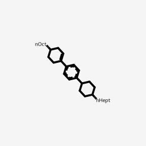 CCCCCCCCC1CC=C(c2ccc(C3CCC(CCCCCCC)CC3)cc2)CC1